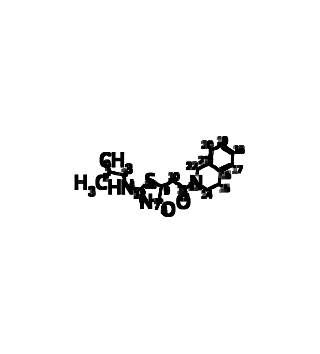 CC(C)CNC1=NC(=O)C(CC(=O)N2CCc3ccccc3C2)S1